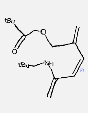 C=C(/C=C\C(=C)NC(C)(C)C)COC(=O)C(C)(C)C